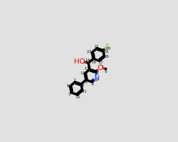 COc1ncc(-c2ccccc2)cc1C(O)c1ccc(F)cc1